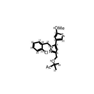 COc1cc(-c2cc(COC(C)(C)C(C)=O)nn2Cc2ccccc2Cl)cs1